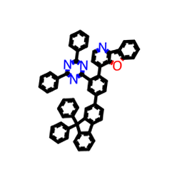 c1ccc(-c2nc(-c3ccccc3)nc(-c3cc(-c4ccc5c(c4)C(c4ccccc4)(c4ccccc4)c4ccccc4-5)ccc3-c3ccnc4c3oc3ccccc34)n2)cc1